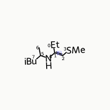 CC/C(=C\SC)NC(C)C(C)CC